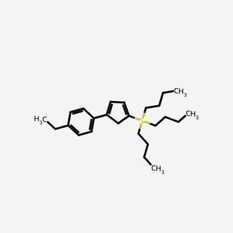 CCCCS(CCCC)(CCCC)C1=CC=C(c2ccc(CC)cc2)C1